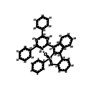 O=S1(c2ccccc2)=Nc2ccccc2-c2c1n(-c1nc(-c3ccccc3)nc(-c3ccccc3)n1)c1ccccc21